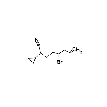 C=CCC(Br)CCC(C#N)C1CC1